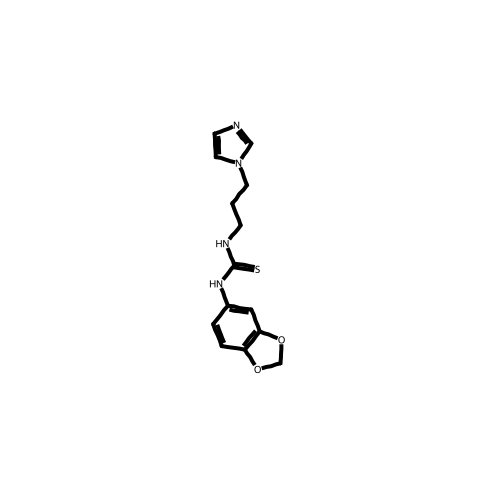 S=C(NCCCn1ccnc1)Nc1ccc2c(c1)OCO2